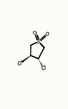 O=S1(=O)C[C@H](Cl)[C@@H](Cl)C1